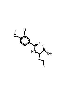 CCCC(NC(=O)c1ccc(OC)c(Cl)c1)C(=O)O